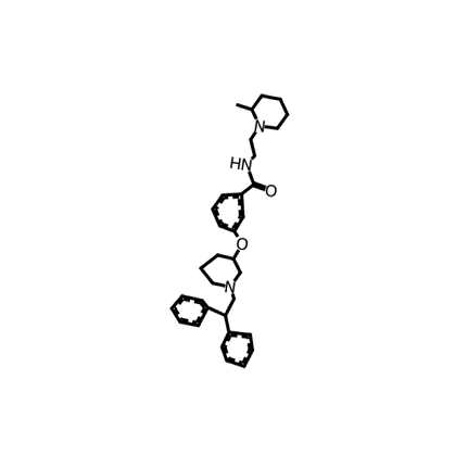 CC1CCCCN1CCNC(=O)c1cccc(OC2CCCN(CC(c3ccccc3)c3ccccc3)C2)c1